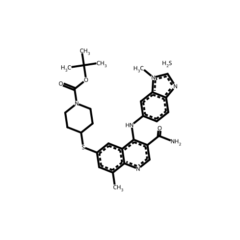 Cc1cc(SC2CCN(C(=O)OC(C)(C)C)CC2)cc2c(Nc3ccc4ncn(C)c4c3)c(C(N)=O)cnc12.S